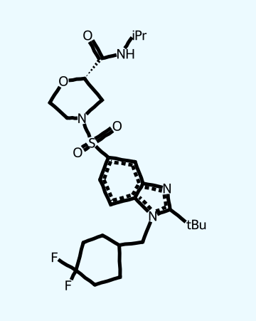 CC(C)NC(=O)[C@@H]1CN(S(=O)(=O)c2ccc3c(c2)nc(C(C)(C)C)n3CC2CCC(F)(F)CC2)CCO1